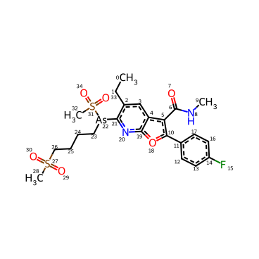 CCc1cc2c(C(=O)NC)c(-c3ccc(F)cc3)oc2nc1[As](CCCCS(C)(=O)=O)S(C)(=O)=O